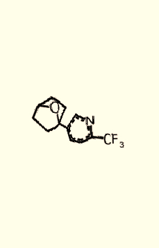 FC(F)(F)c1ccc(C23CCC(CC2)O3)cn1